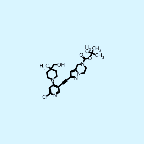 CC1(CO)CCN(c2cc(Cl)ncc2C#Cc2cc3n(n2)CCN(C(=O)OC(C)(C)C)C3)CC1